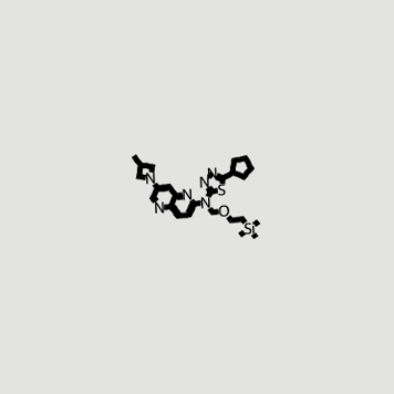 CC1CN(c2cnc3ccc(N(COCC[Si](C)(C)C)c4nnc(C5CCCC5)s4)nc3c2)C1